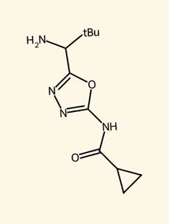 CC(C)(C)C(N)c1nnc(NC(=O)C2CC2)o1